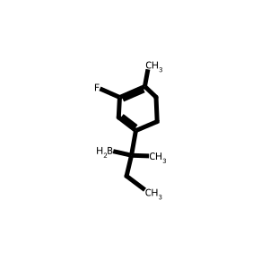 BC(C)(CC)C1=CC(F)=C(C)CC1